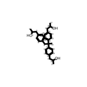 CC(O)Cc1ccc(CC(C)(c2ccc(CC(C)O)cc2)c2ccc(CC(C)O)cc2)cc1